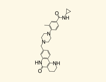 Cc1cc(C(=O)NC2CC2)ccc1N1CCN(Cc2ccc3c4c(c(=O)[nH]c3c2)CCCN4)CC1